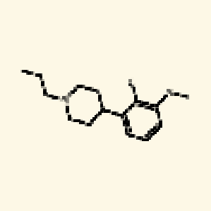 CCCN1CCC(c2cccc(SC)c2Cl)CC1